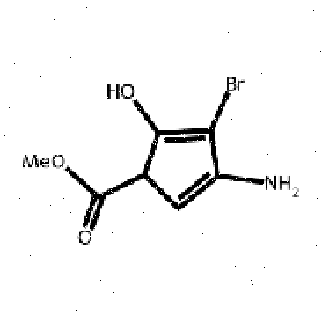 COC(=O)C1C=C(N)C(Br)=C1O